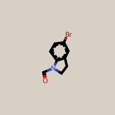 O=CN1CCc2cc(Br)ccc21